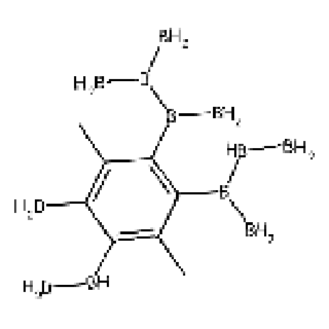 BBB(B)c1c(C)c(BB)c(B)c(C)c1B(B)B(B)B